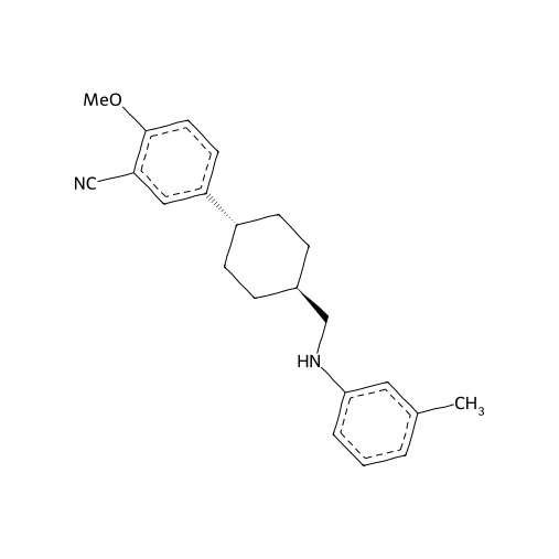 COc1ccc([C@H]2CC[C@H](CNc3cccc(C)c3)CC2)cc1C#N